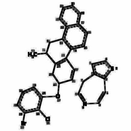 C1=Cc2sccc2CC=N1.CC1Cc2c(ccc3ccccc23)C2=C1CC(Oc1cccc(Br)c1Cl)C=C2